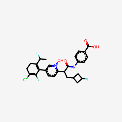 CC(F)C1=C(c2ccc(C(CC3CC(F)C3)C(=O)Nc3ccc(C(=O)O)cc3)[n+](O)c2)C(F)=C(Cl)CC1